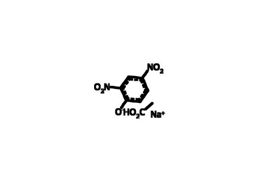 CC(=O)O.O=[N+]([O-])c1ccc([O-])c([N+](=O)[O-])c1.[Na+]